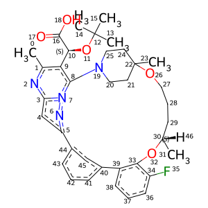 Cc1nc2cc3nn2c(c1[C@H](OC(C)(C)C)C(=O)O)N1CCC(C)(CC1)OCCC[C@H](C)Oc1c(F)cccc1-c1cccc-3c1